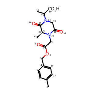 Cc1ccc(COC(=O)CN2C(=O)CN(C(C)C(=O)O)C(=O)[C@@H]2C)cc1